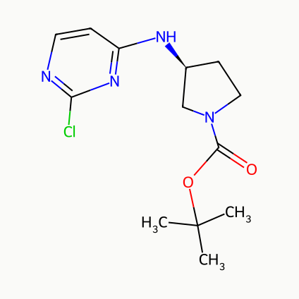 CC(C)(C)OC(=O)N1CC[C@H](Nc2ccnc(Cl)n2)C1